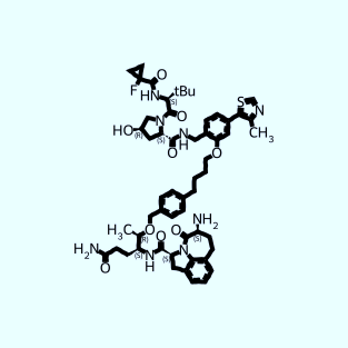 Cc1ncsc1-c1ccc(CNC(=O)[C@@H]2C[C@@H](O)CN2C(=O)[C@@H](NC(=O)C2(F)CC2)C(C)(C)C)c(OCCCCc2ccc(CO[C@H](C)[C@H](CCC(N)=O)NC(=O)[C@@H]3Cc4cccc5c4N3C(=O)[C@@H](N)CC5)cc2)c1